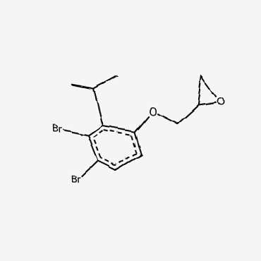 CC(C)c1c(OCC2CO2)ccc(Br)c1Br